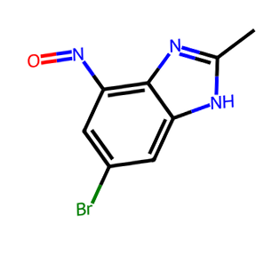 Cc1nc2c(N=O)cc(Br)cc2[nH]1